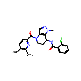 COc1ccc(C(=O)N2CCC(NC(=O)c3ccccc3Cl)c3c2cnn3C)nc1OC